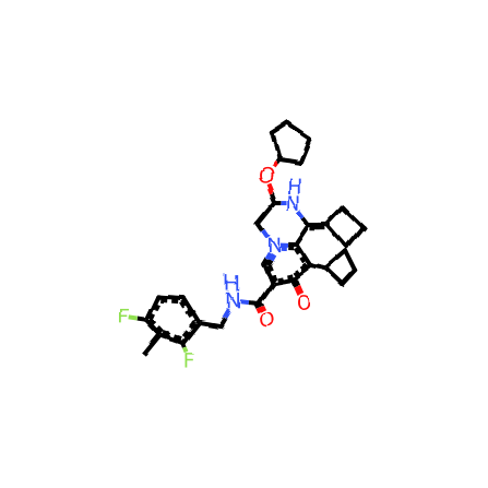 Cc1c(F)ccc(CNC(=O)c2cn3c(c(C4CCC4)c2=O)C(=C2CCC2)NC(OC2CCCC2)C3)c1F